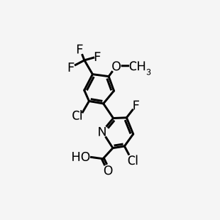 COc1cc(-c2nc(C(=O)O)c(Cl)cc2F)c(Cl)cc1C(F)(F)F